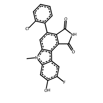 Cn1c2cc(O)c(F)cc2c2c3c(c(-c4ccccc4Cl)cc21)C(=O)NC3=O